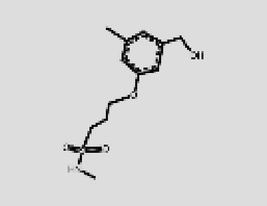 CNS(=O)(=O)CCCOc1cc(C)[c]c(CO)c1